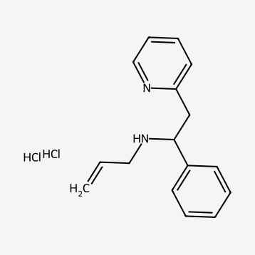 C=CCNC(Cc1ccccn1)c1ccccc1.Cl.Cl